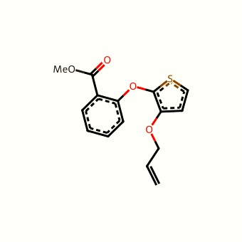 C=CCOc1ccsc1Oc1ccccc1C(=O)OC